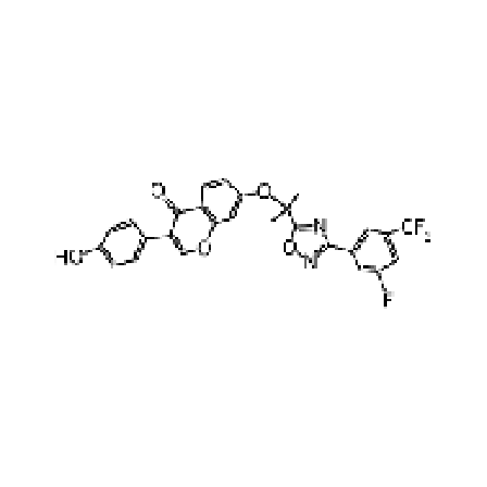 CC(C)(Oc1ccc2c(=O)c(-c3ccc(O)cc3)coc2c1)c1nc(-c2cc(F)cc(C(F)(F)F)c2)no1